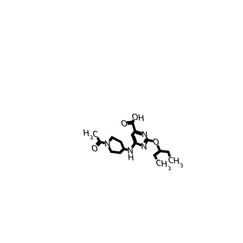 CCC(CC)Oc1nc(NC2CCN(C(C)=O)CC2)cc(C(=O)O)n1